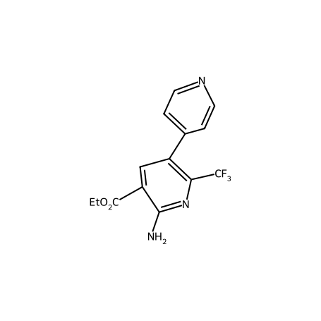 CCOC(=O)c1cc(-c2ccncc2)c(C(F)(F)F)nc1N